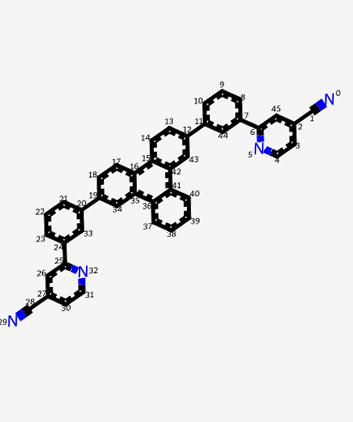 N#Cc1ccnc(-c2cccc(-c3ccc4c5ccc(-c6cccc(-c7cc(C#N)ccn7)c6)cc5c5ccccc5c4c3)c2)c1